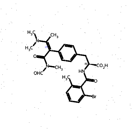 C/C(=C(/C(=O)N(C)C=O)c1ccc(C[C@H](NC(=O)c2c(C)cccc2Br)C(=O)O)cc1)N(C)C